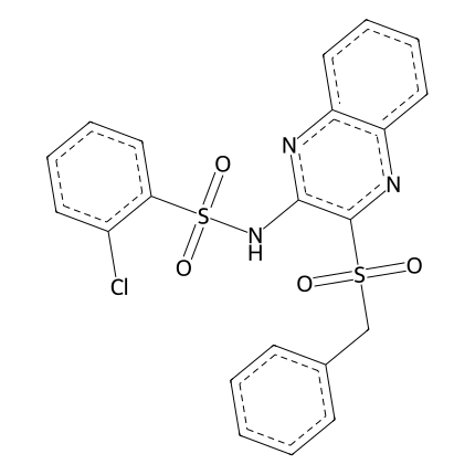 O=S(=O)(Cc1ccccc1)c1nc2ccccc2nc1NS(=O)(=O)c1ccccc1Cl